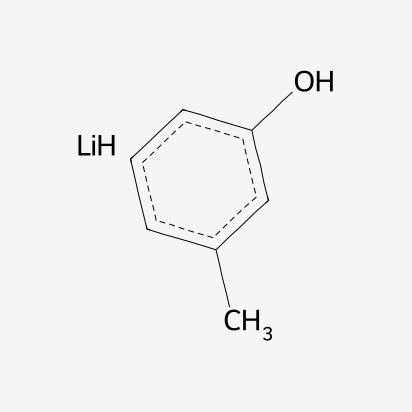 Cc1cccc(O)c1.[LiH]